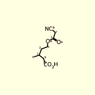 CC(CCOC(=O)CC#N)CC(=O)O